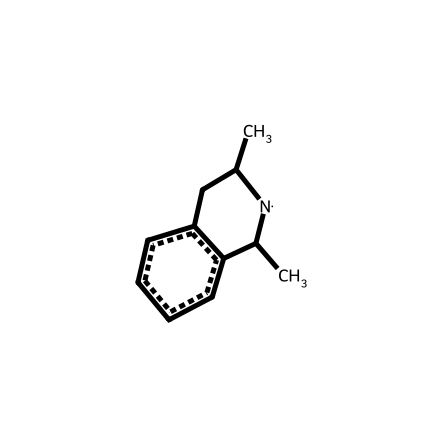 CC1Cc2ccccc2C(C)[N]1